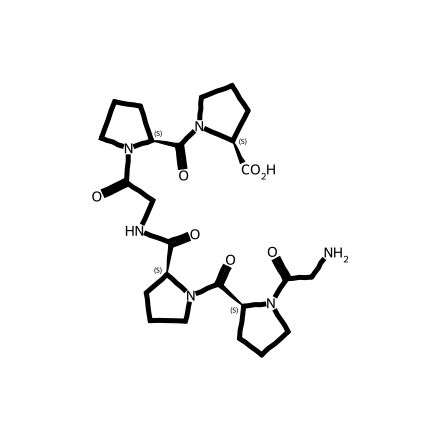 NCC(=O)N1CCC[C@H]1C(=O)N1CCC[C@H]1C(=O)NCC(=O)N1CCC[C@H]1C(=O)N1CCC[C@H]1C(=O)O